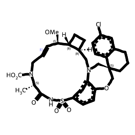 CO[C@@H]1/C=C/CN(C(=O)O)[C@@H](C)C(=O)NS(=O)(=O)c2ccc3c(c2)N(C[C@@H]2CC[C@H]21)C[C@@]1(CCCc2cc(Cl)ccc21)CO3